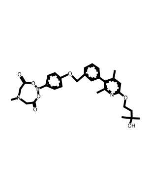 Cc1cc(OCCC(C)(C)O)nc(C)c1-c1cccc(COc2ccc(B3OC(=O)CN(C)CC(=O)O3)cc2)c1